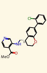 COC(=O)c1ccncc1NC[C@H]1CCOc2cc(-c3ccccc3Cl)ccc21